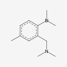 Cc1cc[c]([Bi]([CH3])[CH3])c(CN(C)C)c1